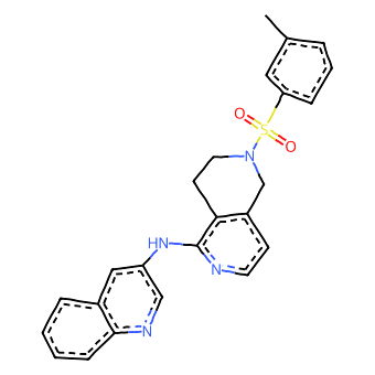 Cc1cccc(S(=O)(=O)N2CCc3c(ccnc3Nc3cnc4ccccc4c3)C2)c1